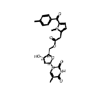 Cc1ccc(C(=O)c2ccc(CC(=O)OC[C@H]3O[C@@H](n4cc(C)c(=O)[nH]c4=O)C[C@@H]3O)n2C)cc1